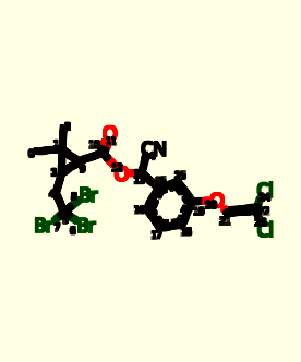 CC1(C)C(CC(Br)(Br)Br)C1C(=O)OC(C#N)c1cccc(OC=C(Cl)Cl)c1